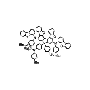 CC(C)(C)c1ccc(N(c2ccc(C(C)(C)C)cc2)c2ccc(C3(c4ccc(C(C)(C)C)cc4)c4cc(N(c5ccc(C(C)(C)C)cc5)c5cccc6c5oc5ccccc56)c5c(oc6ccccc65)c4-c4c3cc(N(c3ccc(C(C)(C)C)cc3)c3cccc5c3oc3ccccc35)c3oc5ccccc5c43)cc2)cc1